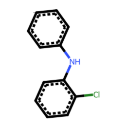 Clc1ccccc1Nc1cc[c]cc1